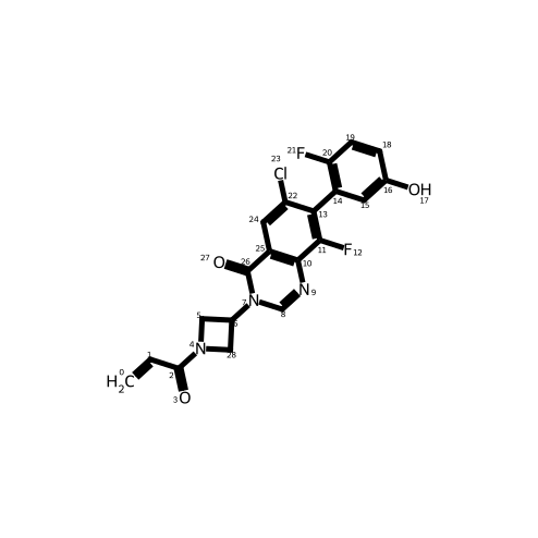 C=CC(=O)N1CC(n2cnc3c(F)c(-c4cc(O)ccc4F)c(Cl)cc3c2=O)C1